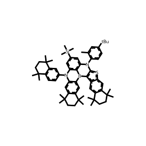 Cc1cc(C(C)(C)C)ccc1N1c2cc([Si](C)(C)C)cc3c2B(c2cc4c(cc2N3c2ccc3c(c2)C(C)(C)CCC3(C)C)C(C)(C)CCC4(C)C)c2c1sc1cc3c(cc21)C(C)(C)CCC3(C)C